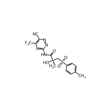 Cc1ccc(S(=O)(=O)C[C@](C)(O)C(=O)Nc2nnc(C#N)c(C(F)(F)F)n2)cc1